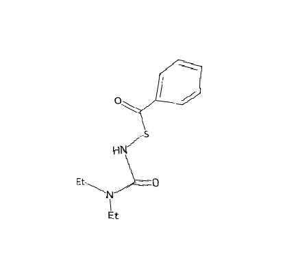 CCN(CC)C(=O)NSC(=O)c1ccccc1